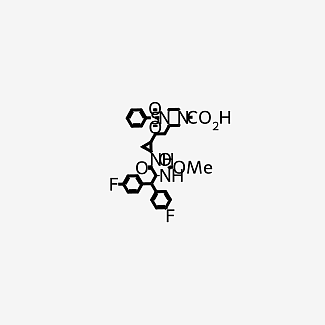 COC(=O)N[C@@H](C(=O)NC1CC1CCC1CN(C(=O)O)CCN1S(=O)(=O)c1ccccc1)C(c1ccc(F)cc1)c1ccc(F)cc1